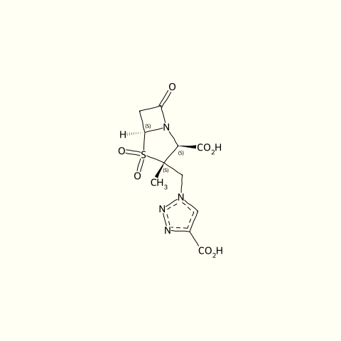 C[C@]1(Cn2cc(C(=O)O)nn2)[C@H](C(=O)O)N2C(=O)C[C@@H]2S1(=O)=O